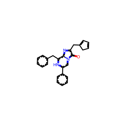 O=c1c(CC2=CC=CC2)nc2c(Cc3ccccc3)[nH]c(-c3ccccc3)cn1-2